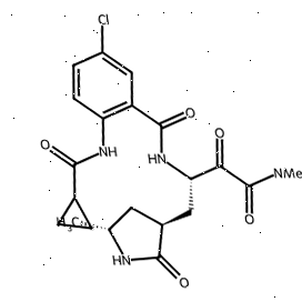 CNC(=O)C(=O)[C@H](C[C@@H]1C[C@@H](C)NC1=O)NC(=O)c1cc(Cl)ccc1NC(=O)C1CC1